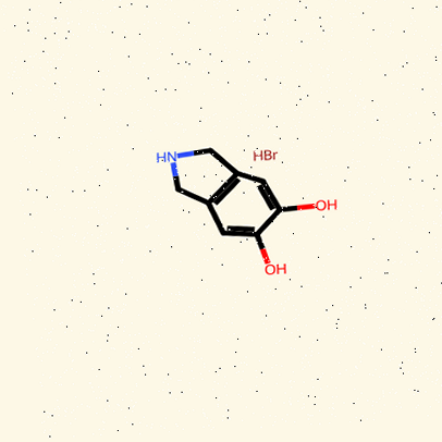 Br.Oc1cc2c(cc1O)CNC2